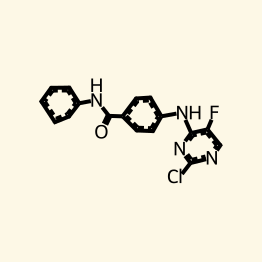 O=C(Nc1ccccc1)c1ccc(Nc2nc(Cl)ncc2F)cc1